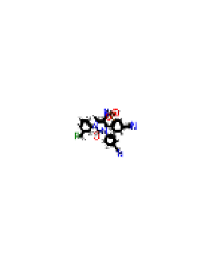 CC1=C(C#N)[C@@H](c2ccc(C#N)cc2S(C)(=O)=O)N(c2ccc(C#N)cc2)C(=O)N1c1cccc(CF)c1